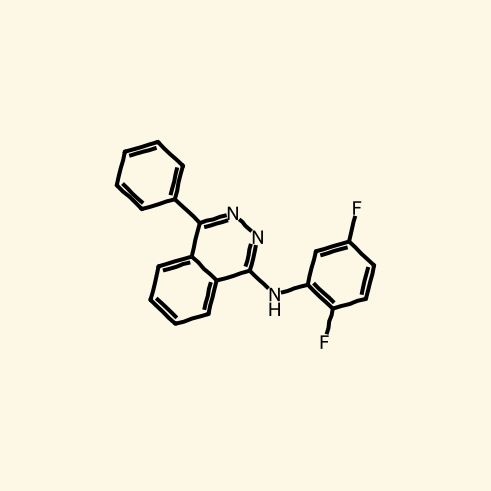 Fc1ccc(F)c(Nc2nnc(-c3ccccc3)c3ccccc23)c1